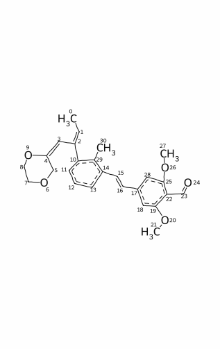 C/C=C(\C=C1/COCCO1)c1cccc(/C=C/c2cc(OC)c(C=O)c(OC)c2)c1C